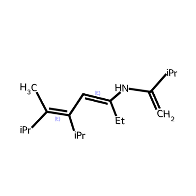 C=C(N/C(=C/C(=C(\C)C(C)C)C(C)C)CC)C(C)C